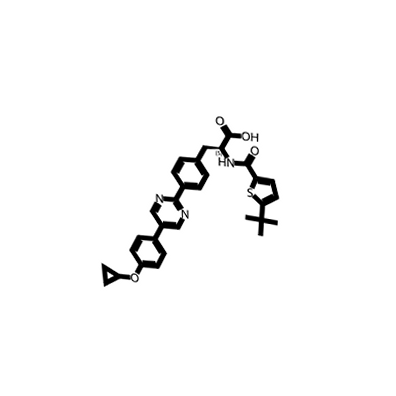 CC(C)(C)c1ccc(C(=O)N[C@@H](Cc2ccc(-c3ncc(-c4ccc(OC5CC5)cc4)cn3)cc2)C(=O)O)s1